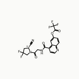 N#C[C@@H]1CC(F)(F)CN1C(=O)CNC(=O)c1ccnc2ccc(OC(=O)C(F)(F)F)cc12